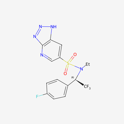 CCN([C@H](c1ccc(F)cc1)C(F)(F)F)S(=O)(=O)c1cnc2nn[nH]c2c1